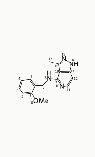 COc1ccccc1CNc1nccc2[nH]nc(C)c12